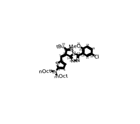 CCCCCCCCN(CCCCCCCC)c1ccc(/C=c2/c(C(C)(C)C)nn3c(-c4cc(Cl)ccc4OC)nnc23)s1